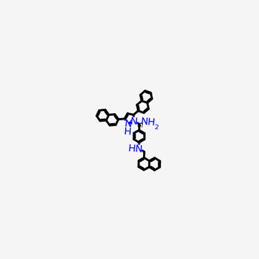 N[C@H](c1ccc(NCc2cccc3ccccc23)cc1)N1NC(c2ccc3ccccc3c2)=CC1c1ccc2ccccc2c1